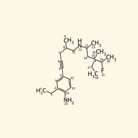 CCc1cc(C#CCC(C)CNC(C)CS(C)(CC)C(C)F)ccc1N